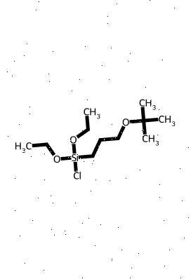 CCO[Si](Cl)(CCCOC(C)(C)C)OCC